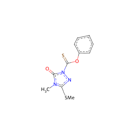 CSc1nn(C(=S)Oc2ccccc2)c(=O)n1C